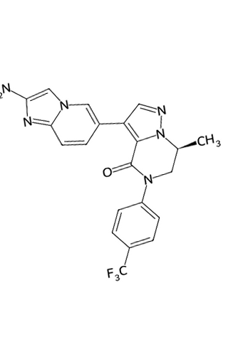 C[C@H]1CN(c2ccc(C(F)(F)F)cc2)C(=O)c2c(-c3ccc4nc(N)cn4c3)cnn21